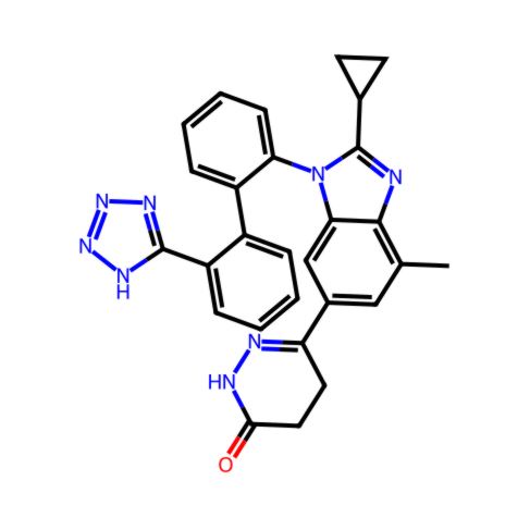 Cc1cc(C2=NNC(=O)CC2)cc2c1nc(C1CC1)n2-c1ccccc1-c1ccccc1-c1nnn[nH]1